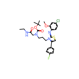 CCNC(=O)CN(CCCn1c(-c2ccc(F)cc2)csc1=Nc1ccc(Cl)cc1OC)C(=O)OC(C)(C)C